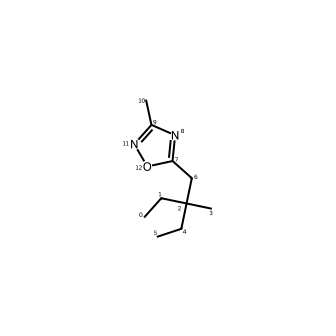 CCC(C)(CC)Cc1nc(C)no1